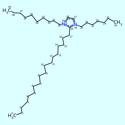 CCCCCCCCCCCCCCCCCCc1n(CCCCCCC)cc[n+]1CCCCCCCCCC